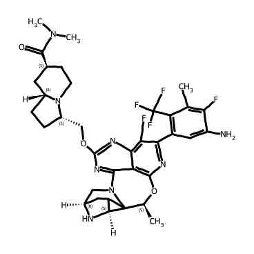 Cc1c(F)c(N)cc(-c2nc3c4c(nc(OC[C@@H]5CC[C@@H]6C[C@@H](C(=O)N(C)C)CCN65)nc4c2F)N2C[C@H]4CC5[C@H](N4)C52[C@H](C)O3)c1C(F)(F)F